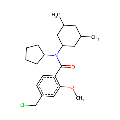 COc1cc(CCl)ccc1C(=O)N(C1CCCC1)C1CC(C)CC(C)C1